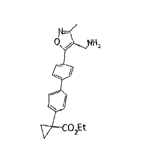 CCOC(=O)C1(c2ccc(-c3ccc(-c4onc(C)c4CN)cc3)cc2)CC1